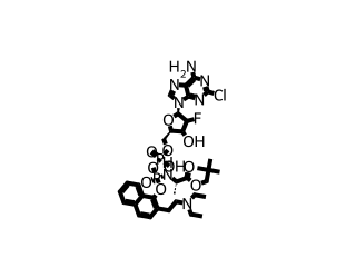 CCN(CC)CCc1ccc2ccccc2c1OP(=O)(N[C@@H](C)C(=O)OCC(C)(C)C)OP(=O)(O)OC[C@H]1O[C@@H](n2cnc3c(N)nc(Cl)nc32)C(F)C1O